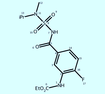 CCOC(=O)Nc1cc(C(=O)NS(=O)(=O)N(C)C(C)C)ccc1F